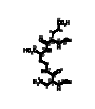 CC(C)(C)N[C@@H](CN)C(=O)NCCC(NC(=O)[C@H](CCC(=O)O)NC(C)(C)C)C(=O)O